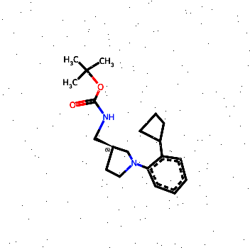 CC(C)(C)OC(=O)NC[C@@H]1CCN(c2ccccc2C2CCC2)C1